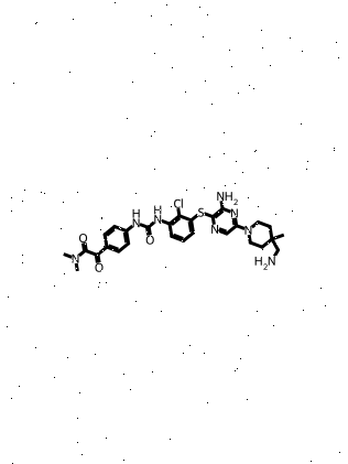 CN(C)C(=O)C(=O)c1ccc(NC(=O)Nc2cccc(Sc3ncc(N4CCC(C)(CN)CC4)nc3N)c2Cl)cc1